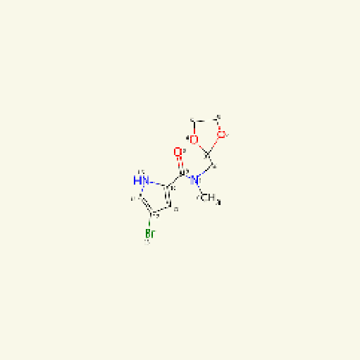 CN(CC1OCCO1)C(=O)c1cc(Br)c[nH]1